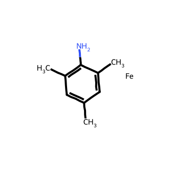 Cc1cc(C)c(N)c(C)c1.[Fe]